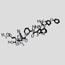 COCCN(C(=O)O)C(C)(C)/C=C(\C#N)C(=O)N1CCCC(NC(=O)c2sc3nccc4c3c2NC(=O)N4c2ccc(Oc3ccccc3)cc2C)C1